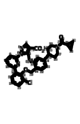 Nc1c(C(=O)O)cnn1-c1cccc(-c2cccc(Cl)c2OCc2ccc(C3CCN(C(=O)C4CC4)CC3)cc2)n1